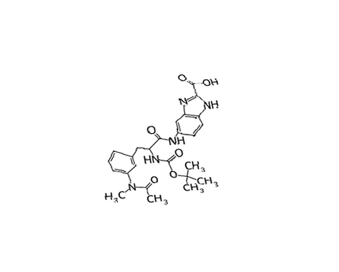 CC(=O)N(C)c1cccc(CC(NC(=O)OC(C)(C)C)C(=O)Nc2ccc3[nH]c(C(=O)O)nc3c2)c1